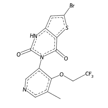 Cc1cncc(-n2c(=O)[nH]c3cc(Br)sc3c2=O)c1OCC(F)(F)F